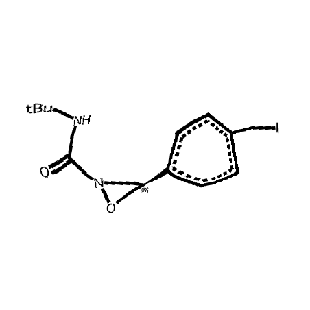 CC(C)(C)NC(=O)N1O[C@@H]1c1ccc(I)cc1